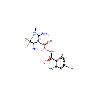 CN/C(N)=C(\C(=N)C(F)(F)F)C(=O)OCC(=O)c1ccc(F)cc1Cl